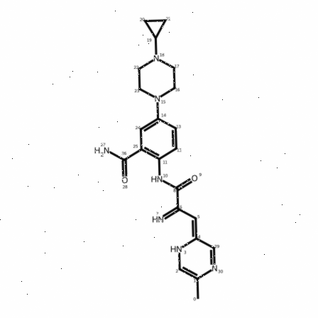 CC1=CN/C(=C\C(=N)C(=O)Nc2ccc(N3CCN(C4CC4)CC3)cc2C(N)=O)C=N1